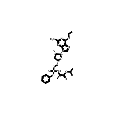 CCOc1nc(N)nc2c1ncn2[C@@H]1O[C@H](COP(=O)(N[C@H](C)C(=O)OC(C)C)Oc2ccccc2)C[C@@H]1C